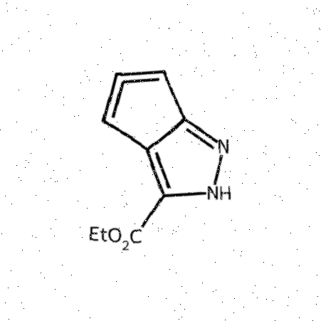 CCOC(=O)c1[nH]nc2c1C=C=C2